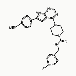 N#Cc1ccc(-c2cc3c(N4CCN(C(=O)NCc5ccc(F)cc5)CC4)ncnc3[nH]2)cc1